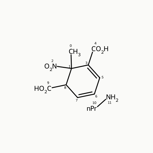 CC1([N+](=O)[O-])C(C(=O)O)=CC=CC1C(=O)O.CCCN